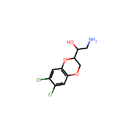 NCC(O)C1COc2cc(Cl)c(Cl)cc2O1